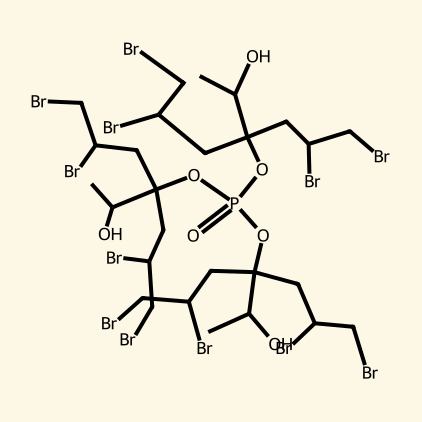 CC(O)C(CC(Br)CBr)(CC(Br)CBr)OP(=O)(OC(CC(Br)CBr)(CC(Br)CBr)C(C)O)OC(CC(Br)CBr)(CC(Br)CBr)C(C)O